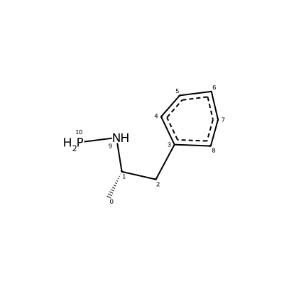 C[C@@H](Cc1ccccc1)NP